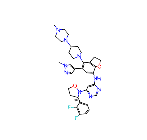 CN1CCN(C2CCN(c3c(-c4cnn(C)c4)cc(Nc4cc(N5OCC[C@@H]5c5cccc(F)c5F)ncn4)c4c3CCO4)CC2)CC1